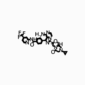 Nc1nccn2c([C@H]3CN4C(=O)CN(C5CC5)C[C@@H]4CO3)nc(-c3ccc(C(=O)Nc4cc(C(F)(F)F)ccn4)cc3)c12